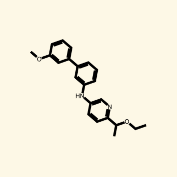 CCOC(C)c1ccc(Nc2cccc(-c3cccc(OC)c3)c2)cn1